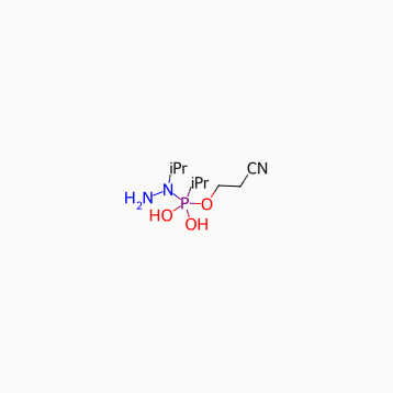 CC(C)N(N)P(O)(O)(OCCC#N)C(C)C